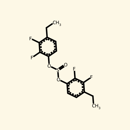 CCc1ccc(OS(=O)Oc2ccc(CC)c(F)c2F)c(F)c1F